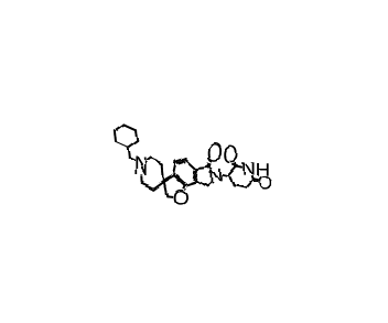 O=C1CCC(N2Cc3c(ccc4c3OCC43CCN(CC4CCCCC4)CC3)C2=O)C(=O)N1